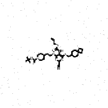 C=CCOC(=O)Nc1c(NCC2CCC3(CCC3)CC2)nc(C#N)nc1OCCC1CCN(C(=O)OC(C)(C)C)CC1